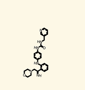 N=C(CN1CCOCC1)c1ccccc1Nc1ccc(NC(=O)NCc2cccnc2)cc1